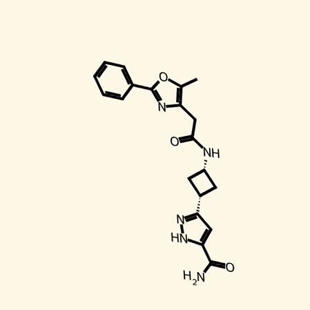 Cc1oc(-c2ccccc2)nc1CC(=O)N[C@H]1C[C@@H](c2cc(C(N)=O)[nH]n2)C1